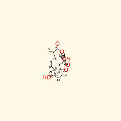 CC1C(=O)O[C@H]2C1CC[C@@]1(C)[C@H](O)CC[C@@]13C[C@]2(O)OO3